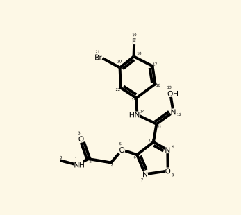 CNC(=O)COc1nonc1/C(=N/O)Nc1ccc(F)c(Br)c1